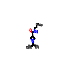 CCCC(CC)N1CC(C(=O)NCCOC)C1